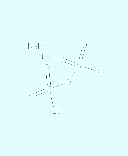 CCS(=O)(=O)OS(=O)(=O)CC.[NaH].[NaH]